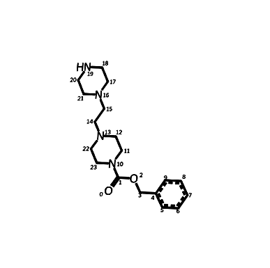 O=C(OCc1ccccc1)N1CCN(CCN2CCNCC2)CC1